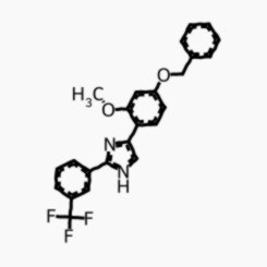 COc1cc(OCc2ccccc2)ccc1-c1c[nH]c(-c2cccc(C(F)(F)F)c2)n1